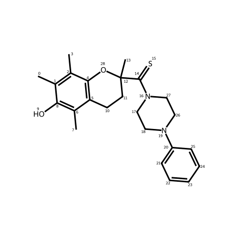 Cc1c(C)c2c(c(C)c1O)CCC(C)(C(=S)N1CCN(c3ccccc3)CC1)O2